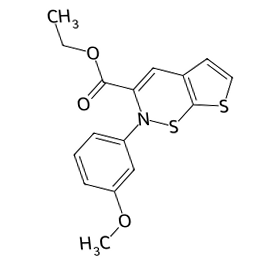 CCOC(=O)C1=Cc2ccsc2SN1c1cccc(OC)c1